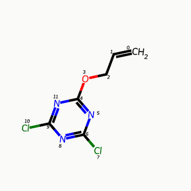 C=CCOc1nc(Cl)nc(Cl)n1